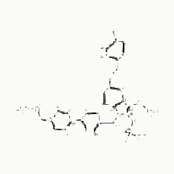 Cc1ccc(COc2ccc3c(c2)c(SC(C)(C)C)c(CC(C)(C)C(=O)O)n3Cc2ccc(-c3ccc(CO[N+](=O)[O-])cn3)cc2)nc1